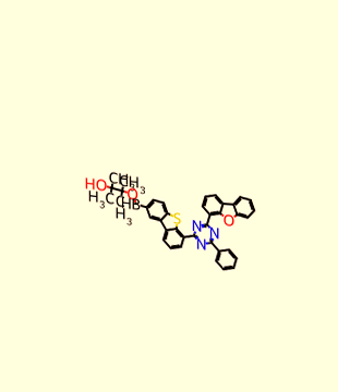 CC(C)(O)C(C)(C)OBc1ccc2sc3c(-c4nc(-c5ccccc5)nc(-c5cccc6c5oc5ccccc56)n4)cccc3c2c1